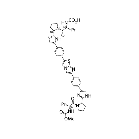 COC(=O)N[C@H](C(=O)N1CCCC1c1nc(-c2ccc(-c3cn4cc(-c5ccc(-c6cnc([C@@H]7CCCN7C(=O)[C@@H](NC(=O)O)C(C)C)[nH]6)cc5)sc4n3)cc2)c[nH]1)C(C)C